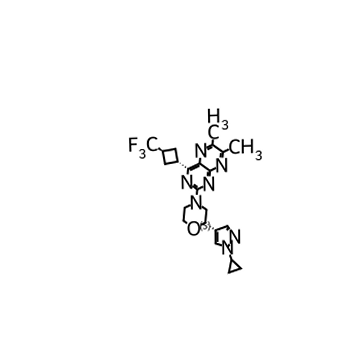 Cc1nc2nc(N3CCO[C@@H](c4cnn(C5CC5)c4)C3)nc([C@H]3C[C@H](C(F)(F)F)C3)c2nc1C